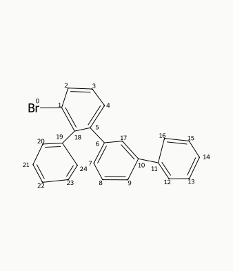 Brc1cccc(-c2cccc(-c3ccccc3)c2)c1-c1ccccc1